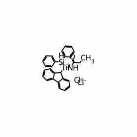 CCC(=O)[NH][Ti+2]([CH]1c2ccccc2-c2ccccc21)[SiH](c1ccccc1)c1ccccc1.[Cl-].[Cl-]